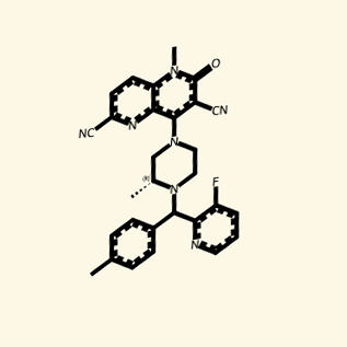 Cc1ccc(C(c2ncccc2F)N2CCN(c3c(C#N)c(=O)n(C)c4ccc(C#N)nc34)C[C@H]2C)cc1